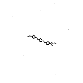 CCCCOC(=O)C1CCC(CCC2CCC(CCC3CCC(CCC)CC3)CC2)CC1